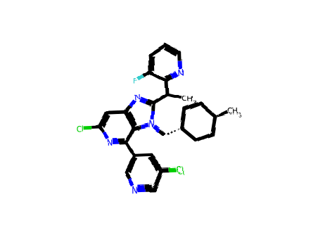 CC(c1ncccc1F)c1nc2cc(Cl)nc(-c3cncc(Cl)c3)c2n1C[C@H]1CC[C@H](C)CC1